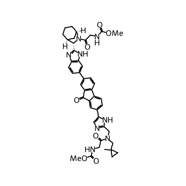 COC(=O)NCC(=O)N(Cc1ncc(-c2ccc3c(c2)C(=O)c2cc(-c4ccc5nc([C@@H]6[C@H]7CCC[C@H](C7)N6C(=O)CNC(=O)OC)[nH]c5c4)ccc2-3)[nH]1)CC1(C)CC1